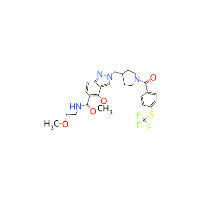 COCCNC(=O)c1ccc2nn(CC3CCN(C(=O)c4ccc(SC(F)(F)F)cc4)CC3)cc2c1OC